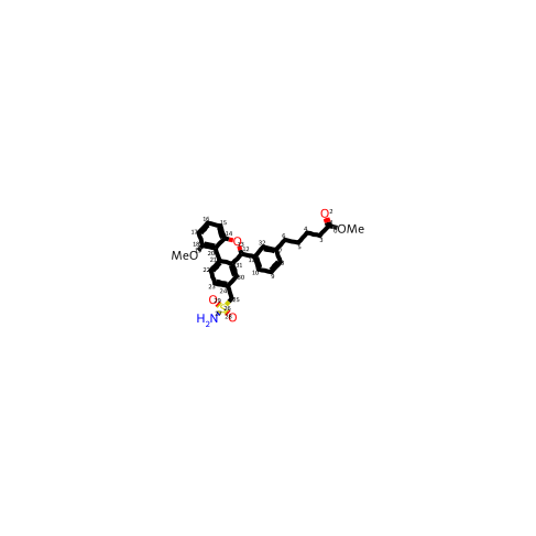 COC(=O)CCCCc1cccc(C2Oc3cccc(OC)c3-c3ccc(CS(N)(=O)=O)cc32)c1